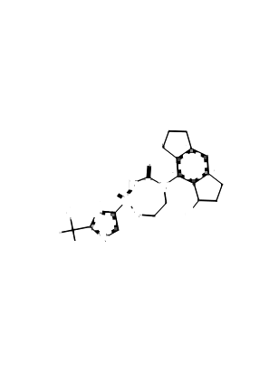 CC1CCc2cc3c(c(N4CCNS(=O)(c5cnc(C(C)(C)O)s5)=NC4=O)c21)CCC3